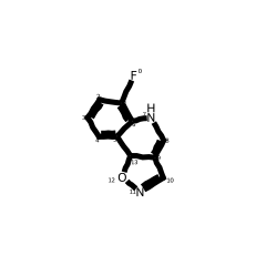 Fc1cccc2c1NC=C1C=NOC12